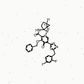 CN1n2cc(-c3nnc(Cc4ccc(F)cc4F)s3)c(=O)c(OCc3ccccc3)c2C(=O)NC12CC[C@@H]1C[C@@H]12